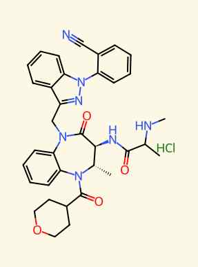 CNC(C)C(=O)N[C@@H]1C(=O)N(Cc2nn(-c3ccccc3C#N)c3ccccc23)c2ccccc2N(C(=O)C2CCOCC2)[C@H]1C.Cl